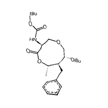 CC(C)CO[C@H]1COC[C@H](NC(=O)OC(C)(C)C)C(=O)O[C@@H](C)[C@@H]1Cc1ccccc1